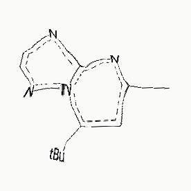 Cc1cc(C(C)(C)C)n2ncnc2n1